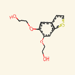 OCCOc1cc2ccsc2cc1OCCO